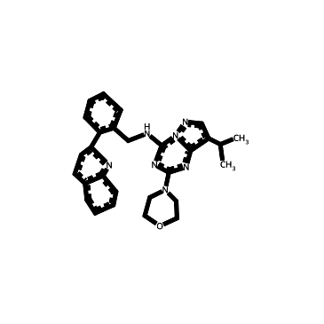 CC(C)c1cnn2c(NCc3ccccc3-c3ccc4ccccc4n3)nc(N3CCOCC3)nc12